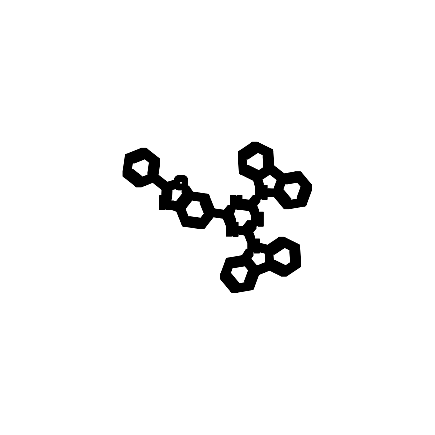 c1ccc(-c2nc3ccc(-c4nc(-n5c6ccccc6c6ccccc65)nc(-n5c6ccccc6c6ccccc65)n4)cc3o2)cc1